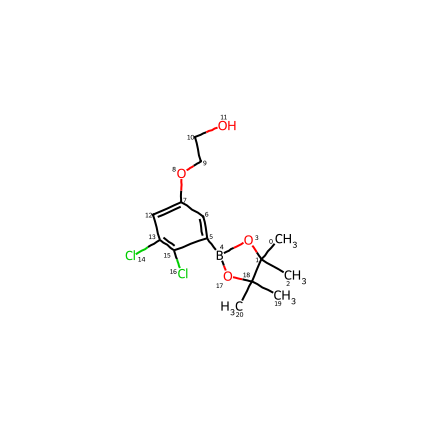 CC1(C)OB(c2cc(OCCO)cc(Cl)c2Cl)OC1(C)C